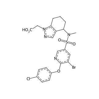 CN(C1CCCc2c1cnn2CC(=O)O)S(=O)(=O)c1cnc(Oc2ccc(Cl)cc2)c(Br)c1